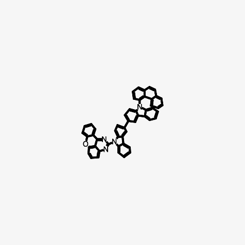 c1ccc2c(c1)Oc1cccc3nc(-n4c5ccccc5c5cc(-c6ccc7c(c6)c6ccccc6n7-c6cccc7ccc8ccccc8c67)ccc54)nc-2c13